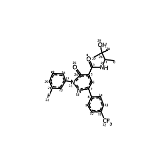 CC(NC(=O)c1cc(-c2ccc(C(F)(F)F)cc2)nn(-c2cccc(F)c2)c1=O)C(C)(C)O